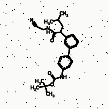 CC(C)CC(C(=O)NCC#N)c1cccc(-c2ccc(NC(=O)OC(C)(C)C)cc2)c1